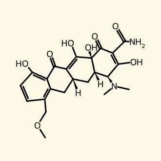 COCc1ccc(O)c2c1C[C@H]1C[C@H]3[C@H](N(C)C)C(O)=C(C(N)=O)C(=O)[C@@]3(O)C(O)=C1C2=O